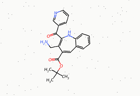 CC(C)(C)OC(=O)C1=Cc2ccccc2NC(C(=O)c2cccnc2)=C1CN